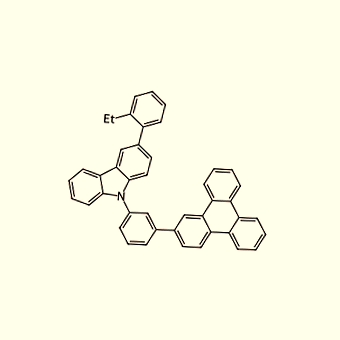 CCc1ccccc1-c1ccc2c(c1)c1ccccc1n2-c1cccc(-c2ccc3c4ccccc4c4ccccc4c3c2)c1